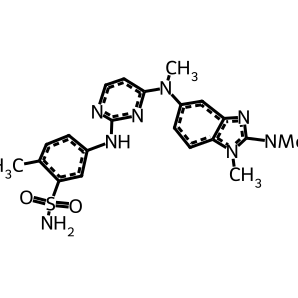 CNc1nc2cc(N(C)c3ccnc(Nc4ccc(C)c(S(N)(=O)=O)c4)n3)ccc2n1C